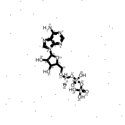 Nc1ncnc2c1ncn2C1OC(CO[PH](=O)OP(=O)(O)OP(=O)(O)O)C(O)C1O